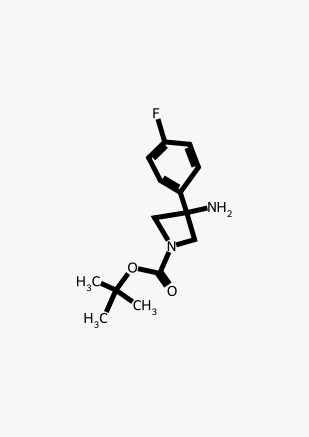 CC(C)(C)OC(=O)N1CC(N)(c2ccc(F)cc2)C1